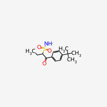 CCC(C(=O)c1ccc(C(C)(C)C)cc1)S([NH])(=O)=O